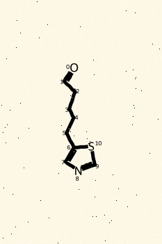 O=C[CH]CCCc1cncs1